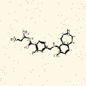 CC[C@@H](C)NC(=O)c1ccc(CSc2c(Cl)ccc3c2CCNCC3)cc1F